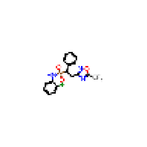 O=S(=O)(Nc1ccccc1F)C(Cc1noc(C(F)(F)F)n1)c1ccccc1